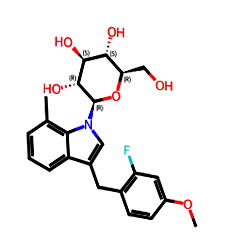 COc1ccc(Cc2cn([C@@H]3O[C@H](CO)[C@@H](O)[C@H](O)[C@H]3O)c3c(C)cccc23)c(F)c1